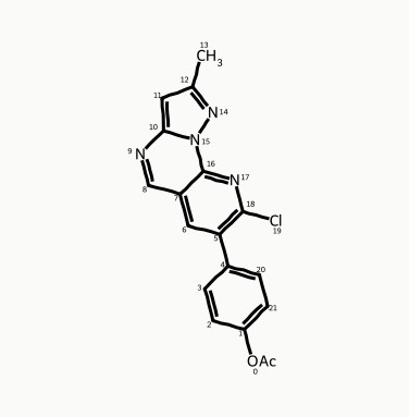 CC(=O)Oc1ccc(-c2cc3cnc4cc(C)nn4c3nc2Cl)cc1